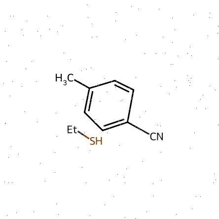 CCS.Cc1ccc(C#N)cc1